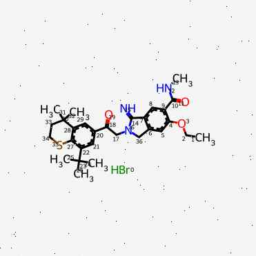 Br.CCOc1cc2c(cc1C(=O)NC)C(=N)N(CC(=O)c1cc(C(C)(C)C)c3c(c1)C(C)(C)CCS3)C2